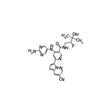 CC(C)(O)C(F)CNC(=O)c1cnc(-c2ccc3cc(C#N)cnn23)cc1Nc1cnc(N)nc1